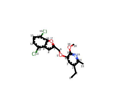 CCc1cc(OCc2cc3c(Cl)ccc(Cl)c3o2)c(OC)nc1C